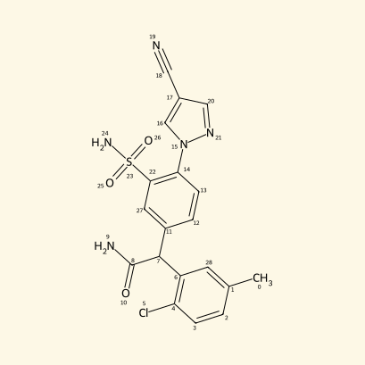 Cc1ccc(Cl)c(C(C(N)=O)c2ccc(-n3cc(C#N)cn3)c(S(N)(=O)=O)c2)c1